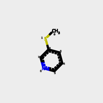 CSc1[c]ccnc1